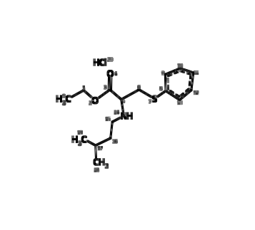 CCOC(=O)C(CSc1ccccc1)NCCC(C)C.Cl